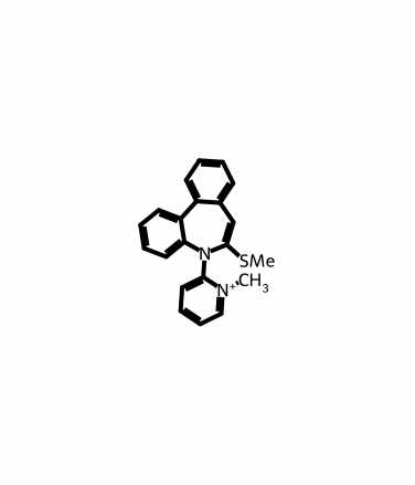 CSC1=Cc2ccccc2-c2ccccc2N1c1cccc[n+]1C